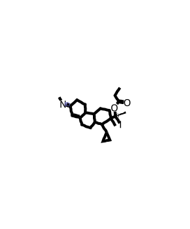 CCC(=O)O[C@](C)(I)C1(C)CCC2C3CC/C(=N\C)C=C3CCC2C1C1CC1